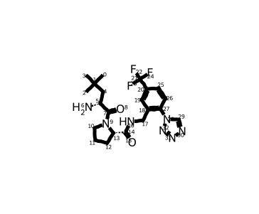 CC(C)(C)C[C@@H](N)C(=O)N1CCC[C@H]1C(=O)NCc1cc(C(F)(F)F)ccc1-n1cnnn1